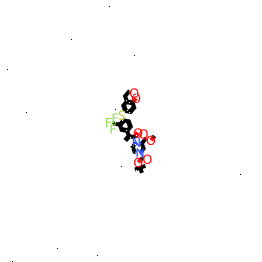 C=C(C(=O)N1CCN(C(=O)OC(C)(C)C)CC1C(=O)OC)c1ccc(Sc2ccc3c(c2)CCOO3)c(C(F)(F)F)c1